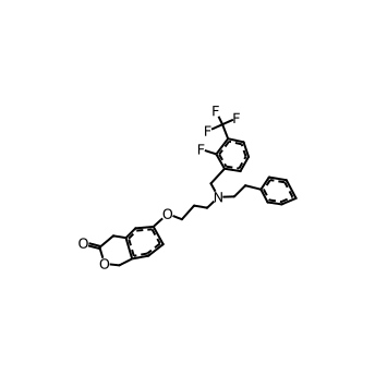 O=C1Cc2cc(OCCCN(CCc3ccccc3)Cc3cccc(C(F)(F)F)c3F)ccc2CO1